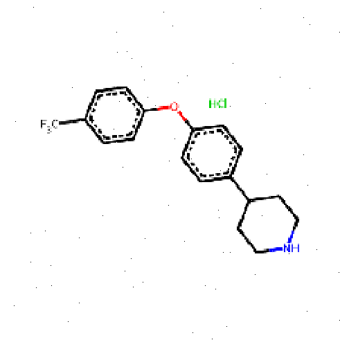 Cl.FC(F)(F)c1ccc(Oc2ccc(C3CCNCC3)cc2)cc1